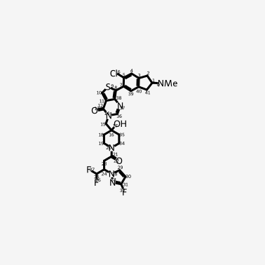 CNC1Cc2cc(Cl)c(-c3scc4c(=O)n(CC5(O)CCN(C(=O)CC(C(F)F)n6ccc(F)n6)CC5)cnc34)cc2C1